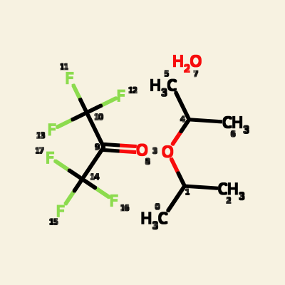 CC(C)OC(C)C.O.O=C(C(F)(F)F)C(F)(F)F